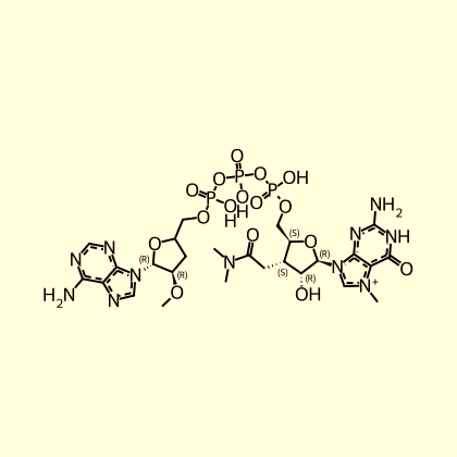 CO[C@@H]1CC(COP(=O)(O)OP(=O)(O)OP(=O)(O)OC[C@H]2O[C@@H](n3c[n+](C)c4c(=O)[nH]c(N)nc43)[C@H](O)[C@@H]2CC(=O)N(C)C)O[C@H]1n1cnc2c(N)ncnc21